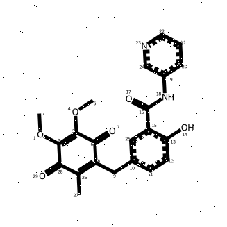 COC1=C(OC)C(=O)C(Cc2ccc(O)c(C(=O)Nc3cccnc3)c2)=C(C)C1=O